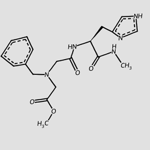 CNC(=O)[C@H](Cc1c[nH]cn1)NC(=O)CN(CC(=O)OC)Cc1ccccc1